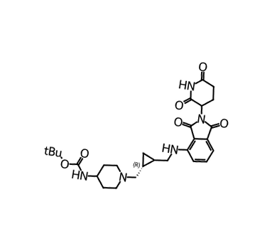 CC(C)(C)OC(=O)NC1CCN(C[C@@H]2CC2CNc2cccc3c2C(=O)N(C2CCC(=O)NC2=O)C3=O)CC1